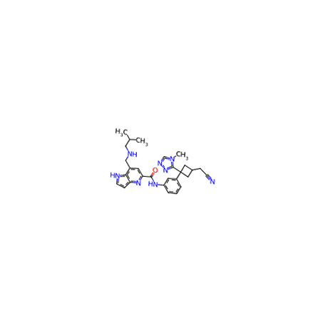 CC(C)CNCc1cc(C(=O)Nc2cccc(C3(c4nncn4C)CC(CC#N)C3)c2)nc2cc[nH]c12